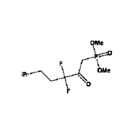 COP(=O)(CC(=O)C(F)(F)CCC(C)C)OC